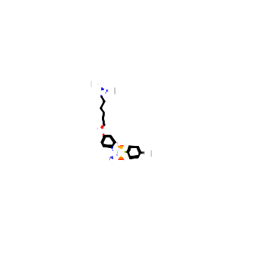 CN(C)CCCCCCOc1ccc(N(C)S(=O)(=O)c2ccc(C(F)(F)F)cc2)cc1